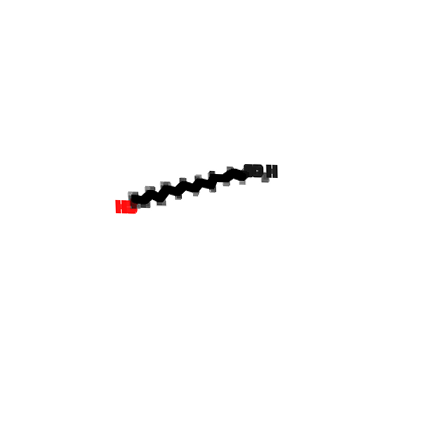 O=S(=O)(O)C=CCCCCCCCCCCCCO